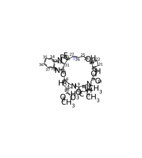 COC(=O)[C@@H]1C[C@@H]2CN1C(=O)[C@H](C(C)(C)C)NC(=O)O[C@@H]1CC[C@H]1OC/C=C/C(F)(F)c1nc3ccccc3nc1O2